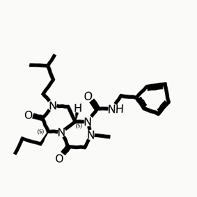 CCC[C@H]1C(=O)N(CCC(C)C)C[C@H]2N1C(=O)CN(C)N2C(=O)NCc1ccccc1